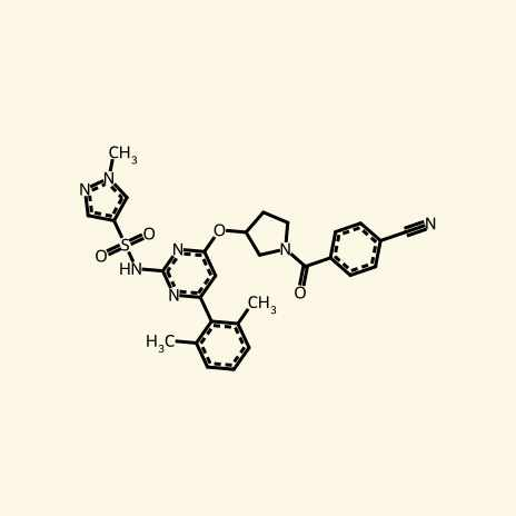 Cc1cccc(C)c1-c1cc(OC2CCN(C(=O)c3ccc(C#N)cc3)C2)nc(NS(=O)(=O)c2cnn(C)c2)n1